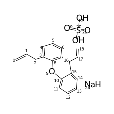 C=CCc1ccccc1Oc1ccccc1CC=C.O=S(=O)(O)O.[NaH]